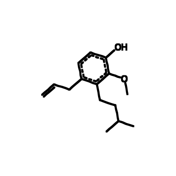 C=CCc1ccc(O)c(OC)c1CCC(C)C